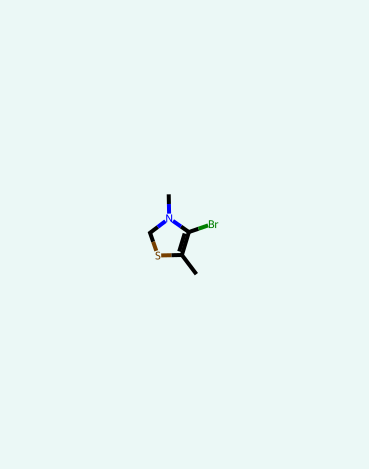 CC1=C(Br)N(C)CS1